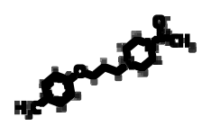 Cc1ccc(OCCCN2CCN([S+](C)[O-])CC2)cc1